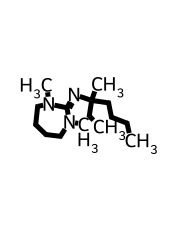 CCCCC(C)(CC)N=C1N(C)CCCCN1C